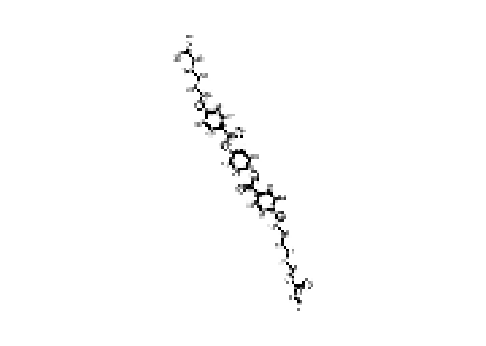 C=CC(=O)OCCCCCCOc1ccc(C(=O)Oc2ccc(OC(=O)c3ccc(OCCCCCC(C)C)cc3)cc2)cc1